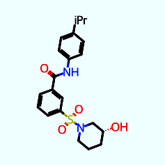 CC(C)c1ccc(NC(=O)c2cccc(S(=O)(=O)N3CCC[C@@H](O)C3)c2)cc1